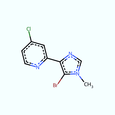 Cn1cnc(-c2cc(Cl)ccn2)c1Br